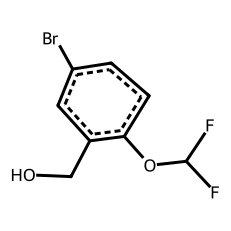 OCc1cc(Br)ccc1OC(F)F